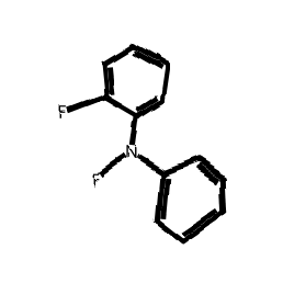 Fc1ccccc1N(F)c1ccccc1